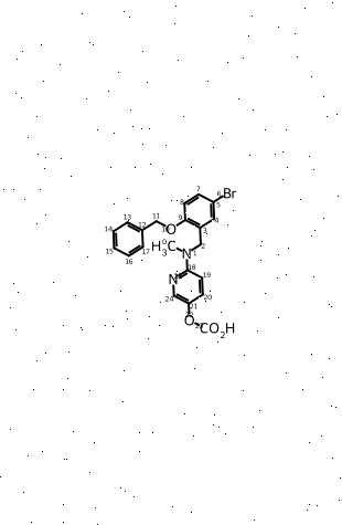 CN(Cc1cc(Br)ccc1OCc1ccccc1)c1ccc(OC(=O)O)cn1